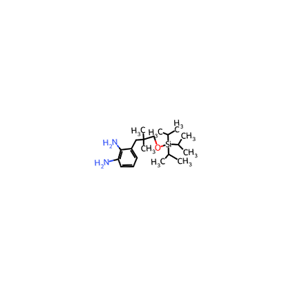 CC(C)[Si](OCC(C)(C)Cc1cccc(N)c1N)(C(C)C)C(C)C